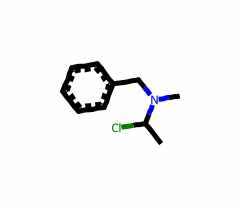 CC(Cl)N(C)Cc1ccccc1